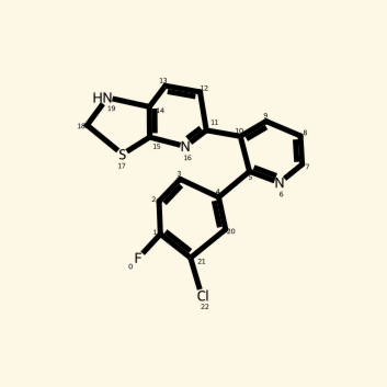 Fc1ccc(-c2ncccc2-c2ccc3c(n2)SCN3)cc1Cl